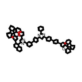 c1ccc(-c2cc(-c3c(-c4ccc5c(c4)Oc4ccccc4C54c5ccccc5-c5ccccc54)ccc4ccccc34)nc(-c3cccc(-c4ccc(-c5cc(-c6ccc(-c7ccc(-c8ccc9c(c8)Oc8ccccc8C98c9ccccc9-c9ccccc98)cc7)cc6)nc(-c6ccccc6)n5)cc4)c3)n2)cc1